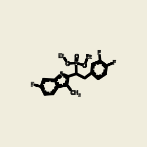 CCOP(=O)(OCC)C(Cc1ccc(F)c(F)c1)c1sc2cc(F)ccc2c1C